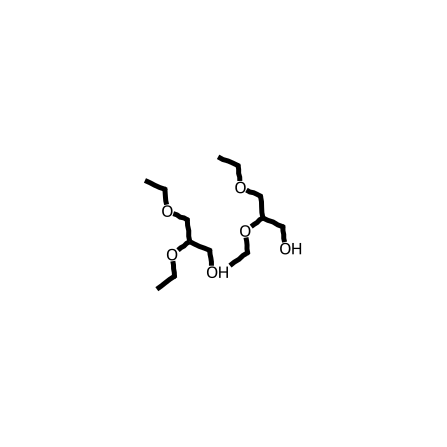 CCOCC(CO)OCC.CCOCC(CO)OCC